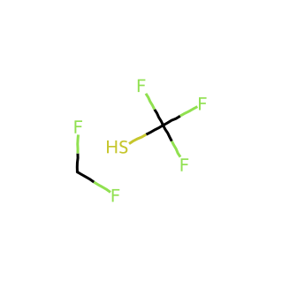 FC(F)(F)S.FCF